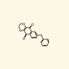 O=C1C2=C(OCCO2)C(=O)c2cc(Cc3ccccc3)ccc21